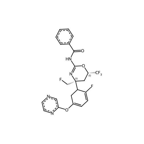 O=C(NC1=N[C@](CF)(C2CC(Oc3cnccn3)=CC=C2F)C[C@@H](C(F)(F)F)O1)c1ccccc1